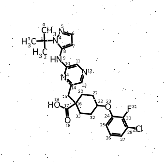 CC(C)(C)n1nccc1Nc1cncc(CC2(C(=O)O)CCC(Oc3cccc(Cl)c3F)CC2)n1